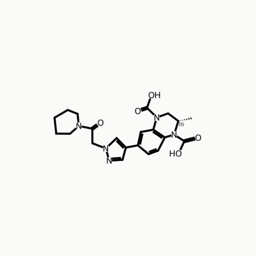 C[C@H]1CN(C(=O)O)c2cc(-c3cnn(CC(=O)N4CCCCC4)c3)ccc2N1C(=O)O